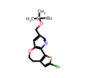 CC(C)(C)[Si](C)(C)OCc1cnc2c(c1)OCCc1cc(Br)sc1-2